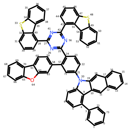 c1ccc(-c2cccc3c2c2cc4ccccc4cc2n3-c2ccc(-c3nc(-c4cccc5sc6ccccc6c45)nc(-c4cccc5sc6ccccc6c45)n3)c(-c3ccc4c(c3)oc3ccccc34)c2)cc1